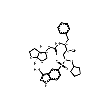 Nc1n[nH]c2ccc(S(=O)(=O)N(C[C@H](O)[C@H](Cc3ccccc3)NC(=O)O[C@H]3CO[C@H]4OCC[C@H]43)OC3CCCC3)cc12